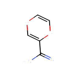 N=C(N)C1=COC=CO1